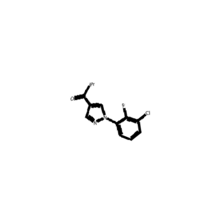 CC(C)C(=O)c1cnn(-c2cccc(Cl)c2F)c1